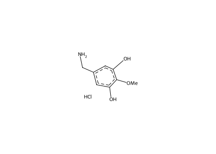 COc1c(O)cc(CN)cc1O.Cl